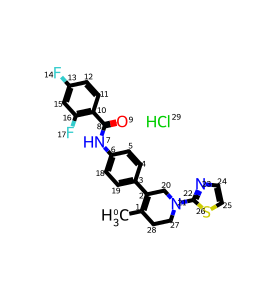 CC1=C(c2ccc(NC(=O)c3ccc(F)cc3F)cc2)CN(c2nccs2)CC1.Cl